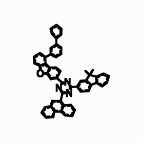 CC1(C)c2ccccc2-c2ccc(-c3nc(-c4ccc5c(c4)oc4cccc(-c6cccc(-c7ccccc7)c6)c45)nc(-c4cc5ccccc5c5ccccc45)n3)cc21